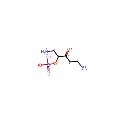 NCCC(=O)C(CN)OP(=O)(O)O